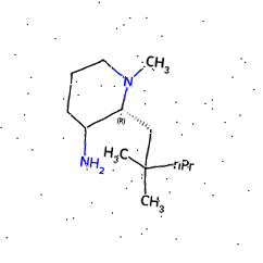 CCCC(C)(C)C[C@@H]1C(N)CCCN1C